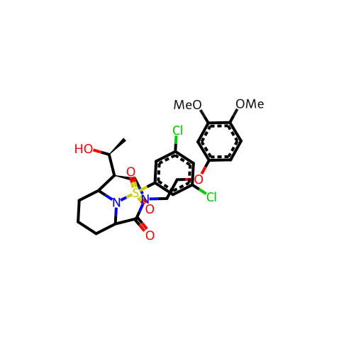 COc1ccc(OCCN2C[C@H]([C@H](C)O)C3CCCC(C2=O)N3S(=O)(=O)c2cc(Cl)cc(Cl)c2)cc1OC